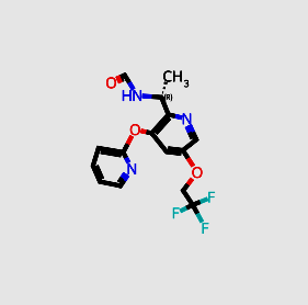 C[C@@H](NC=O)c1ncc(OCC(F)(F)F)cc1Oc1ccccn1